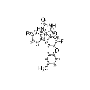 Cc1ccc(Oc2cc3c(cc2F)C2(NC(=O)NC2=O)c2cc(F)ccc2-3)cc1